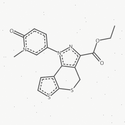 CCOC(=O)c1nn(-c2ccc(=O)n(C)c2)c2c1CSc1sccc1-2